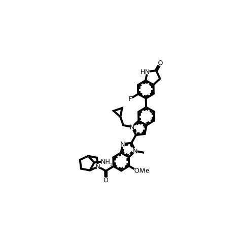 COc1cc(C(=O)N2CC3CCC2C3N)cc2nc(-c3cc4ccc(-c5cc6c(cc5F)NC(=O)C6)cc4n3CC3CC3)n(C)c12